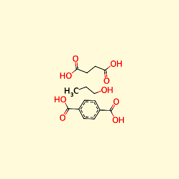 CCCO.O=C(O)CCC(=O)O.O=C(O)c1ccc(C(=O)O)cc1